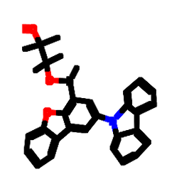 CB(OC(C)(C)C(C)(C)O)c1cc(-n2c3ccccc3c3ccccc32)cc2c1oc1ccccc12